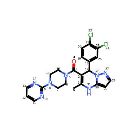 CC1=C(C(=O)N2CCN(c3ncccn3)CC2)C(c2ccc(Cl)c(Cl)c2)n2nccc2N1